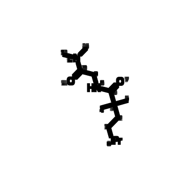 CC(C)CCC(C)(C)C(=O)NCC(=O)N(C)C